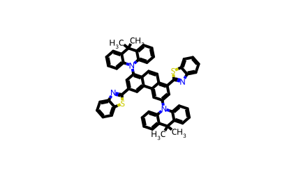 CC1(C)c2ccccc2N(c2cc(-c3nc4ccccc4s3)c3ccc4c(N5c6ccccc6C(C)(C)c6ccccc65)cc(-c5nc6ccccc6s5)cc4c3c2)c2ccccc21